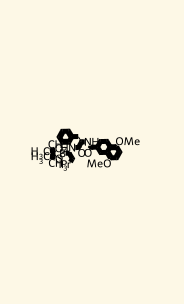 COc1ccc(OC)c2c1CCC(C(=O)N[C@@H](Cc1ccccc1)C(=O)NC(CC(C)C)B1OC(C)(C)C(C)(C)O1)C2